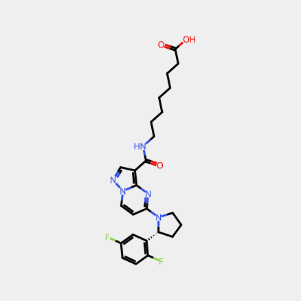 O=C(O)CCCCCCCNC(=O)c1cnn2ccc(N3CCC[C@@H]3c3cc(F)ccc3F)nc12